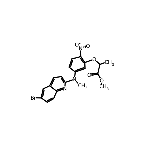 COC(=O)C(C)Oc1cc(N(C)c2ccc3cc(Br)ccc3n2)ccc1[N+](=O)[O-]